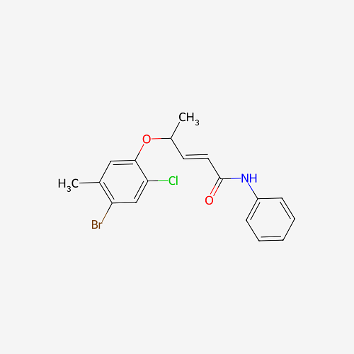 Cc1cc(OC(C)C=CC(=O)Nc2ccccc2)c(Cl)cc1Br